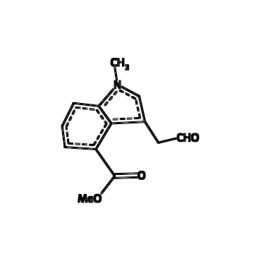 COC(=O)c1cccc2c1c(CC=O)cn2C